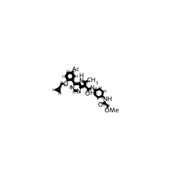 COCC(=O)NC1CCC(NC(=O)c2c(C)[nH]c3c(-c4cc(C(C)=O)ccc4OCC4CC4)ncnc23)CC1